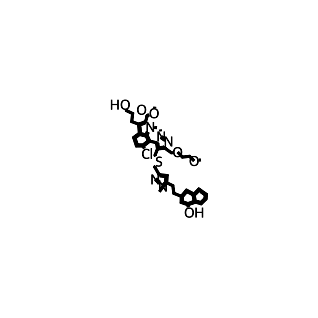 COCCOCc1nn(C)c(-c2c(Cl)ccc3c(CCCO)c(C(=O)OC)n(C)c23)c1CSCc1cc(CCc2cc(O)c3ccccc3c2)n(C)n1